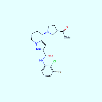 COC(=O)[C@@H]1CCN([C@@H]2CCCn3nc(C(=O)Nc4cccc(Br)c4Cl)cc32)C1